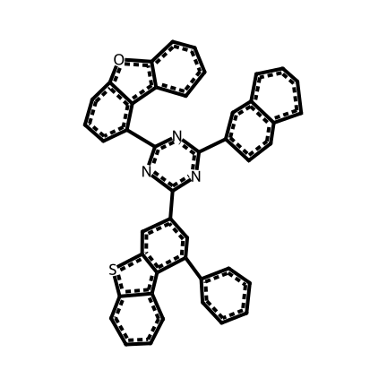 c1ccc(-c2cc(-c3nc(-c4ccc5ccccc5c4)nc(-c4cccc5oc6ccccc6c45)n3)cc3sc4ccccc4c23)cc1